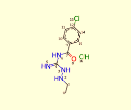 CCNNC(=N)NC(=O)c1ccc(Cl)cc1.Cl